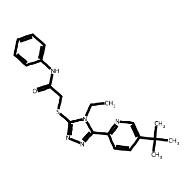 CCn1c(SCC(=O)Nc2ccccc2)nnc1-c1ccc(C(C)(C)C)cn1